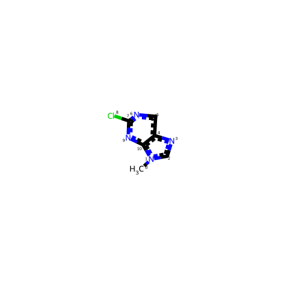 Cn1cnc2[c]nc(Cl)nc21